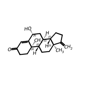 C=C1CC[C@H]2[C@@H]3C[C@@H](O)C4=CC(=O)CC[C@]4(C)[C@H]3CC[C@]12C